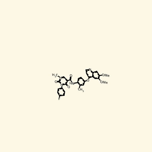 COc1cc2nccc(Oc3ccc(NC(=O)c4cn(C)c(=O)n(-c5ccc(F)cc5)c4=O)c(C)c3)c2cc1OC